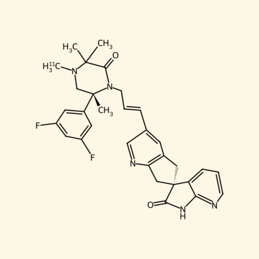 CC1(C)C(=O)N(C/C=C/c2cnc3c(c2)C[C@@]2(C3)C(=O)Nc3ncccc32)[C@](C)(c2cc(F)cc(F)c2)CN1[11CH3]